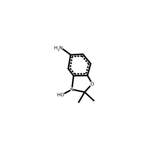 CC1(C)Oc2ccc(N)cc2N1O